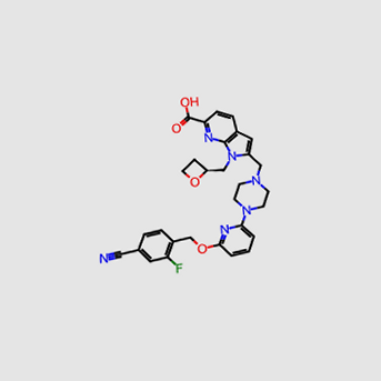 N#Cc1ccc(COc2cccc(N3CCN(Cc4cc5ccc(C(=O)O)nc5n4C[C@@H]4CCO4)CC3)n2)c(F)c1